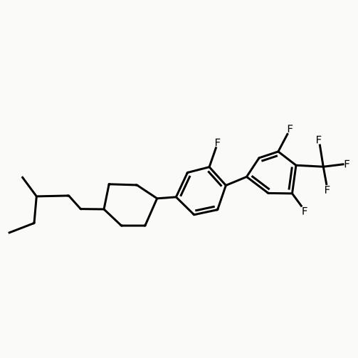 CCC(C)CCC1CCC(c2ccc(-c3cc(F)c(C(F)(F)F)c(F)c3)c(F)c2)CC1